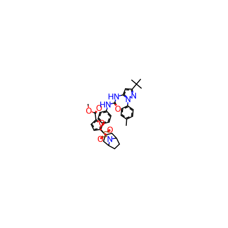 COC(=O)c1ccc(S(=O)(=O)N2C3CCC2CC(Cc2ccc(NC(=O)Nc4cc(C(C)(C)C)nn4-c4ccc(C)cc4)cc2)C3)o1